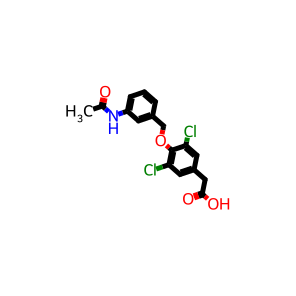 CC(=O)Nc1cccc(COc2c(Cl)cc(CC(=O)O)cc2Cl)c1